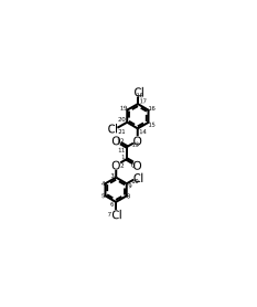 O=C(Oc1ccc(Cl)cc1Cl)C(=O)Oc1ccc(Cl)cc1Cl